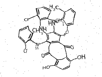 Cc1cccc(Cl)c1Nc1c(F)c2c(c(Nc3c(C)cccc3Cl)c1Nc1c(C)cccc1Cl)C(=O)c1c(O)ccc(O)c1C2=O